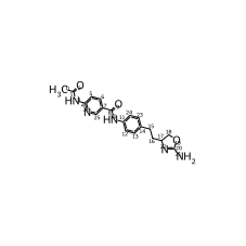 CC(=O)Nc1ccc(C(=O)Nc2ccc(CCC3COC(N)=N3)cc2)cn1